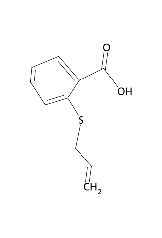 C=CCSc1ccccc1C(=O)O